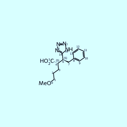 COCCC[C@H](C(=O)O)[C@H](Cc1ccccc1)c1nnn[nH]1